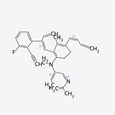 C#Cc1c(F)cccc1/C(C=C)=C/C1=C(N(C)C(/C=N\C(=C)C)=C/C)CCC(/C=C\C=C)=C1C